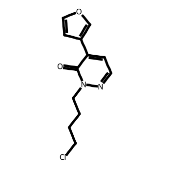 O=c1c(-c2ccoc2)ccnn1CCCCCl